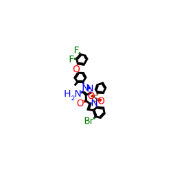 Cc1cc(Oc2cccc(F)c2F)ccc1-n1ncc(C(=O)c2cc3c(Br)cccc3n2S(=O)(=O)c2ccccc2)c1N